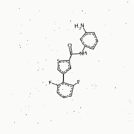 Nc1cccc(NC(=O)c2cc(-c3c(F)cccc3F)cs2)c1